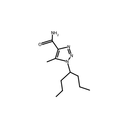 CCCC(CCC)n1nnc(C(N)=O)c1C